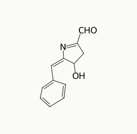 O=CC1=NC(=Cc2ccccc2)C(O)C1